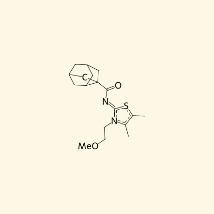 COCCn1c(C)c(C)sc1=NC(=O)C12CC3CC(CC1C3)C2